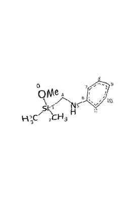 CO[Si](C)(C)CNc1ccccc1